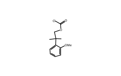 COc1ccccc1C(C)(C)COC(=O)Cl